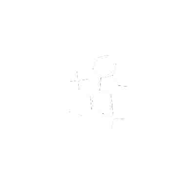 CCO[Si]1(C)c2c(NC(C)(C)C)c(O[Si](C)(C)C)c3c(c21)[CH]([Zr+2])c1ccccc1-3.[Cl-].[Cl-]